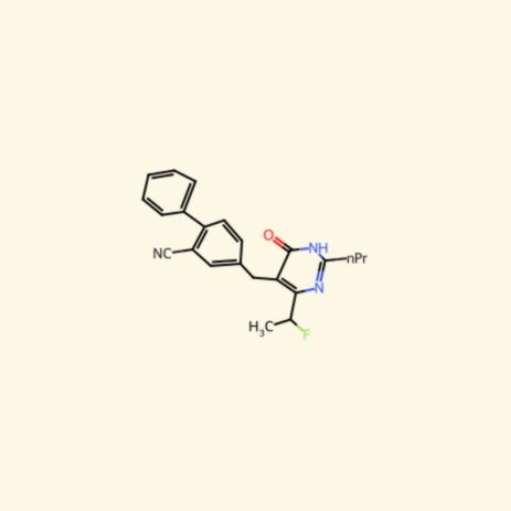 CCCc1nc(C(C)F)c(Cc2ccc(-c3ccccc3)c(C#N)c2)c(=O)[nH]1